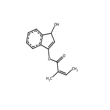 C/C=C(/C)C(=O)OC1=CC(O)c2ccccc21